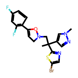 Cn1cc(C(C)(CN2CC=C(c3ccc(F)cc3F)O2)c2ncc(Br)s2)cn1